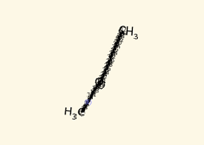 CCCCCC/C=C/CCCCCCCCCC(=O)OCCCCCCCCCCCCCCCCCCCCCCCCCCCC